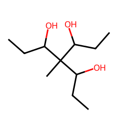 CCC(O)C(C)(C(O)CC)C(O)CC